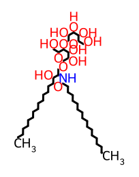 CCCCCCCCCCCCCCCCCC(=O)NC(CO[C@@H]1OC(CO)[C@@H](O[C@@H]2OC(CO)[C@H](O)[C@@H](O)C2O)[C@@H](O)C1O)C(O)CCCCCCCCCCCCCCC